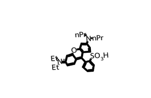 CCCN(CCC)c1ccc2c(-c3ccccc3S(=O)(=O)O)c3ccc(=[N+](CC)CC)cc-3oc2c1